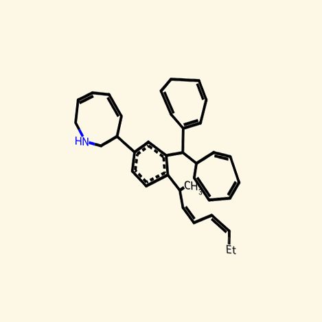 CC/C=C\C=C/C(C)c1ccc(C2/C=C\C=C/CNC2)cc1C(C1=CC=CCC=C1)C1C=CC=CC=C1